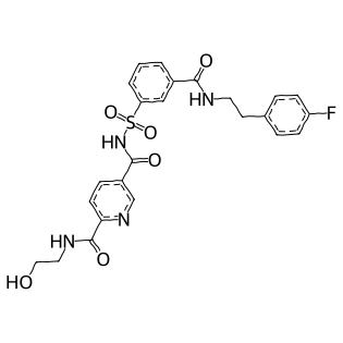 O=C(NCCc1ccc(F)cc1)c1cccc(S(=O)(=O)NC(=O)c2ccc(C(=O)NCCO)nc2)c1